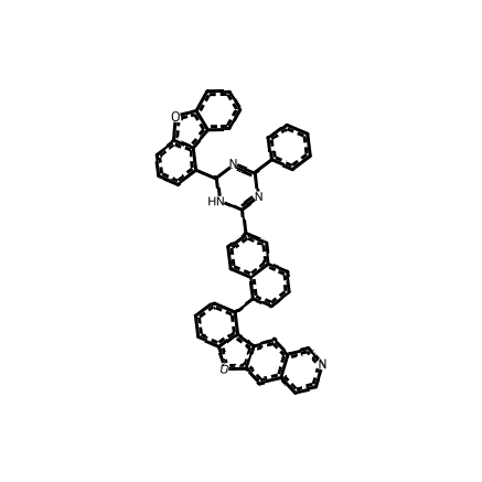 c1ccc(C2=NC(c3cccc4oc5ccccc5c34)NC(c3ccc4c(-c5cccc6oc7cc8ccncc8cc7c56)cccc4c3)=N2)cc1